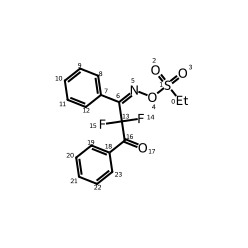 CCS(=O)(=O)ON=C(c1ccccc1)C(F)(F)C(=O)c1ccccc1